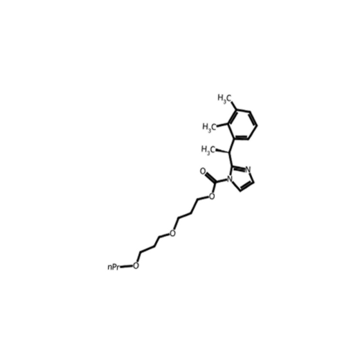 CCCOCCCOCCCOC(=O)n1ccnc1[C@@H](C)c1cccc(C)c1C